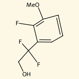 COc1cccc(C(F)(F)CO)c1F